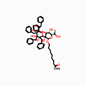 COC(=O)CCCCCCCCO[C@H]1O[C@H](C(O)F)[C@@H](O)[C@H](OCc2ccccc2)[C@]1(O)[C@@H]1O[C@H](C(O)Cc2ccccc2)[C@](O)(Cc2ccccc2)[C@@](O)(Cc2ccccc2)[C@]1(O)Cc1ccccc1